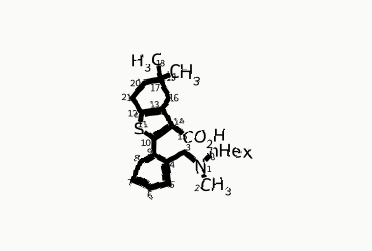 CCCCCCN(C)Cc1ccccc1-c1sc2c(c1C(=O)O)CC(C)(C)CC2